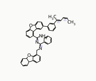 C/C=C\C=C(/C)c1cccc(-c2ccc3oc4cccc(/C(N)=N/C(=N\Cc5cccc6c5OC5C=CC=CC65)c5ccccc5)c4c3c2)c1